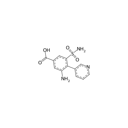 Nc1cc(C(=O)O)cc(S(N)(=O)=O)c1-c1cccnc1